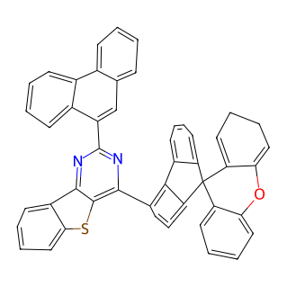 C1=C2Oc3ccccc3C3(C2=CCC1)c1ccccc1-c1c(-c2nc(-c4cc5ccccc5c5ccccc45)nc4c2sc2ccccc24)cccc13